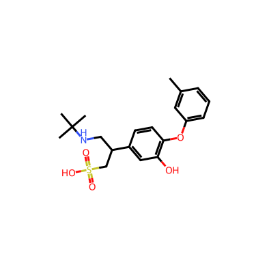 Cc1cccc(Oc2ccc(C(CNC(C)(C)C)CS(=O)(=O)O)cc2O)c1